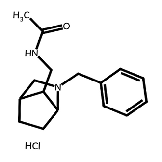 CC(=O)NCC1C2CCC1N(Cc1ccccc1)C2.Cl